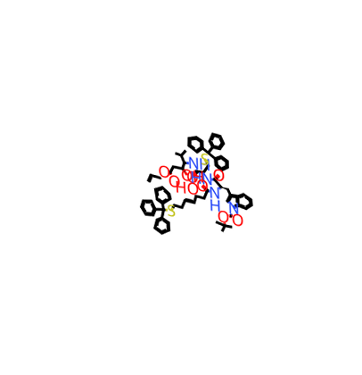 C=CCOC(=O)CC(O)C(NC(=O)C(CSC(c1ccccc1)(c1ccccc1)c1ccccc1)NC(=O)[C@@H](Cc1cn(C(=O)OC(C)(C)C)c2ccccc12)NC(=O)C[C@H](O)/C=C/CCSC(c1ccccc1)(c1ccccc1)c1ccccc1)C(C)C